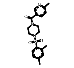 Cc1ccc(S(=O)(=O)N2CCN(C(=O)c3ccc(C)nc3)CC2)c(C)c1